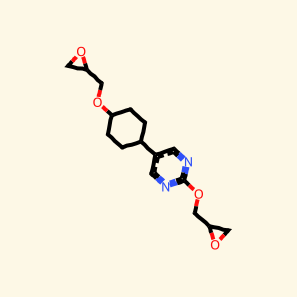 c1nc(OCC2CO2)ncc1C1CCC(OCC2CO2)CC1